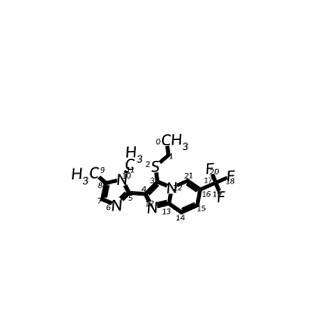 CCSc1c(-c2ncc(C)n2C)nc2ccc(C(F)(F)F)cn12